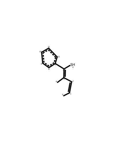 C/C=C\C(C)=C(/S)c1ccccc1